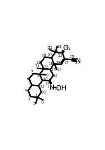 CC1(C)CCC2CCC3(C)C(C(=NO)CC4C5(C)C=C(C#N)C(=O)C(C)(C)C5CCC43C)C2C1